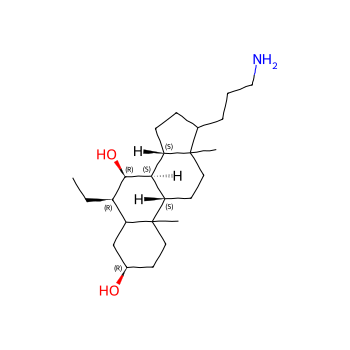 CC[C@@H]1C2C[C@H](O)CCC2(C)[C@H]2CCC3(C)C(CCCN)CC[C@H]3[C@@H]2[C@@H]1O